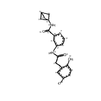 O=C(Cc1cc(Cl)ccc1O)Nc1ccnc(C(=O)NC23CC(C2)C3)c1